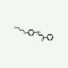 O=C(/C=C/Nc1ccc(OCCCF)cc1)c1ccccc1